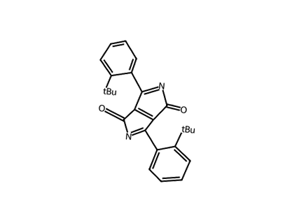 CC(C)(C)c1ccccc1-c1nc(=O)c2c(-c3ccccc3C(C)(C)C)nc(=O)c1=2